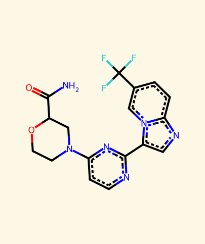 NC(=O)C1CN(c2ccnc(-c3cnc4ccc(C(F)(F)F)cn34)n2)CCO1